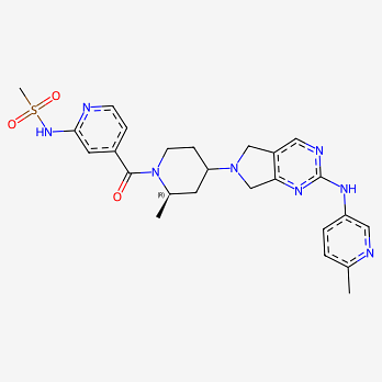 Cc1ccc(Nc2ncc3c(n2)CN(C2CCN(C(=O)c4ccnc(NS(C)(=O)=O)c4)[C@H](C)C2)C3)cn1